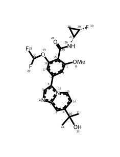 COc1cc(-c2cnc3cc(C(C)(C)O)ccn23)cc(OC(F)F)c1C(=O)N[C@@H]1C[C@@H]1F